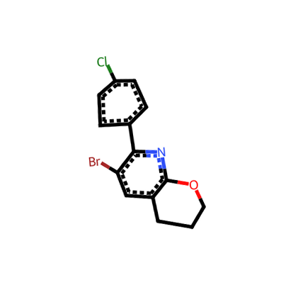 Clc1ccc(-c2nc3c(cc2Br)CCCO3)cc1